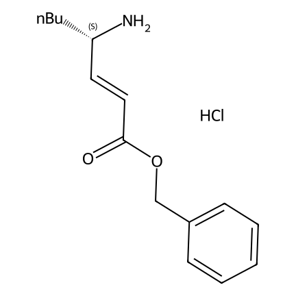 CCCC[C@H](N)C=CC(=O)OCc1ccccc1.Cl